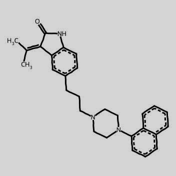 CC(C)=C1C(=O)Nc2ccc(CCCN3CCN(c4cccc5ccccc45)CC3)cc21